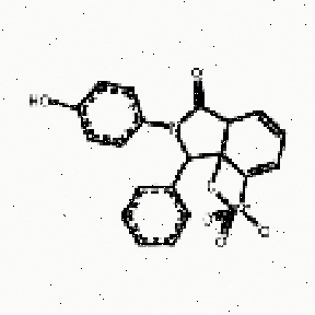 O=COC12C([N+](=O)[O-])=CC=CC1C(=O)N(c1ccc(O)cc1)C2c1ccccc1